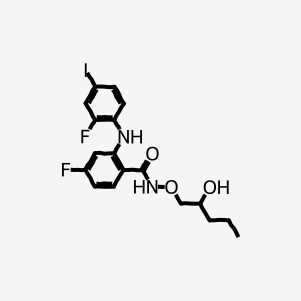 CCCC(O)CONC(=O)c1ccc(F)cc1Nc1ccc(I)cc1F